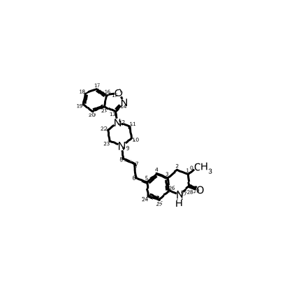 CC1Cc2cc(CCCN3CCN(c4noc5ccccc45)CC3)ccc2NC1=O